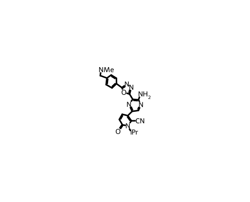 CNCc1ccc(-c2nnc(-c3nc(-c4ccc(=O)n(C(C)C)c4C#N)cnc3N)o2)cc1